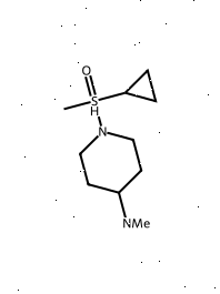 CNC1CCN([SH](C)(=O)C2CC2)CC1